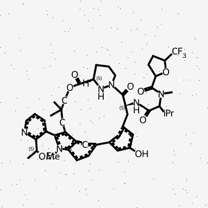 CCn1c(-c2cccnc2[C@H](C)OC)c2c3cc(ccc31)-c1cc(O)cc(c1)C[C@H](NC(=O)C(C(C)C)N(C)C(=O)C1CCC(C(F)(F)F)O1)C(=O)N1CCC[C@H](N1)C(=O)OCC(C)(C)C2